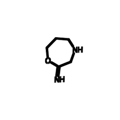 N=C1CNCCCO1